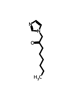 CCCCCCC(=O)Cn1ccnc1